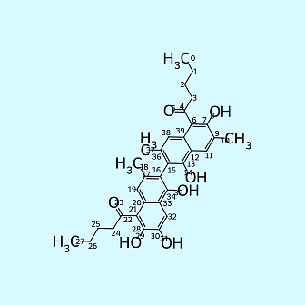 CCCCC(=O)c1c(O)c(C)cc2c(O)c(-c3c(C)cc4c(C(=O)CCCC)c(O)c(O)cc4c3O)c(C)cc12